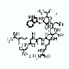 CC(C)C[C@H](NC(=O)[C@H](Cc1c[nH]c2ccccc12)NC(=O)[C@H](C)N)C(=O)N[C@H](C(=O)N[C@@H](CCCNC(=N)N)C(=O)NCC(=O)N[C@@H](CCCNC(=N)N)C(=O)NCC(N)=O)C(C)C